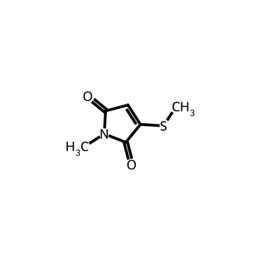 CSC1=CC(=O)N(C)C1=O